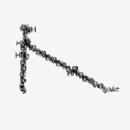 COCCOCCOCCOCCOCCOCCNC(=O)CCOCCOCCOCCOCCOCCOCCOCCOCCNC(=O)C(CCCCNC(=O)CCOCCOCCOCCOCCN=C=S)NC(=O)CCCc1c[nH]c2ccccc12